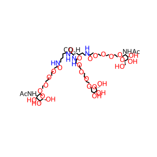 CC(=O)N[C@H]1[C@H](OCCOCCOCCOCC(=O)NCCCC[C@H](NC(=O)[C@H](CCCCNC(=O)COCCOCCOCCO[C@@H]2O[C@H](CO)[C@H](O)[C@H](O)[C@H]2NC(C)=O)NC(=O)COCCOCCOCCO[C@H]2C[C@@H](O)[C@@H](O)[C@@H](CO)O2)C(=O)O)O[C@H](CO)[C@H](O)[C@@H]1O